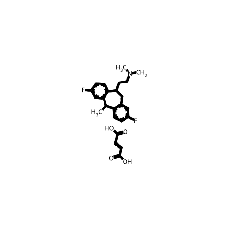 CC1c2ccc(F)cc2CC(CCN(C)C)c2ccc(F)cc21.O=C(O)C=CC(=O)O